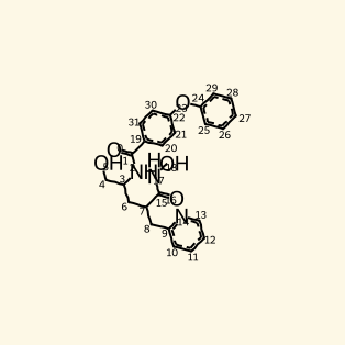 O=C(NC(CO)CC(Cc1ccccn1)C(=O)NO)c1ccc(Oc2ccccc2)cc1